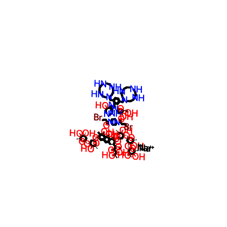 CO[C@H](C(=O)[C@@H](O)[C@@H](C)O)[C@@H]1Cc2cc3cc(O[C@H]4C[C@@H](O[C@H]5C[C@@H](O)[C@H](O)[C@@H](C)O5)[C@H](O)[C@@H](C)O4)c(C)c(O)c3c(O)c2C(=O)[C@H]1O[C@H]1C[C@@H](O[C@H]2C[C@@H](O[C@H]3C[C@](C)(O)[C@H](O)[C@@H](C)O3)[C@@H](O)[C@@H](C)O2)[C@H](O)[C@@H](C)O1.O=C(CCBr)N1CCN(C(=O)CCBr)CC1.OC[C@H]1O[C@@H](n2cnc3c2NC=NC[C@H]3O)C[C@@H]1O.[Na+].[Na+].c1cc(CN2CCCNCCNCCCNCC2)ccc1CN1CCCNCCNCCCNCC1